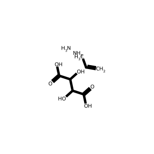 C=CC.N.N.O=C(O)C(O)C(O)C(=O)O